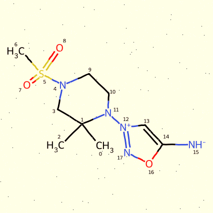 CC1(C)CN(S(C)(=O)=O)CCN1[n+]1cc([NH-])on1